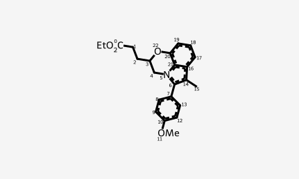 CCOC(=O)CCC1Cn2c(-c3ccc(OC)cc3)c(C)c3cccc(c32)O1